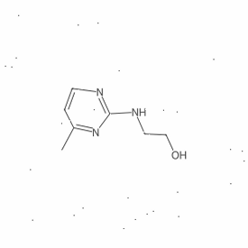 Cc1ccnc(NCCO)n1